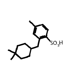 Cc1ccc(S(=O)(=O)O)c(CC2CCC(C)(C)CC2)c1